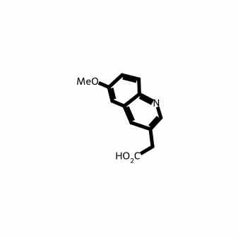 COc1ccc2ncc(CC(=O)O)cc2c1